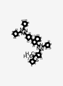 CC1(C)c2ccccc2Sc2ccc(-c3nc(-c4ccccc4)nc(-c4ccc(-c5ccc(-c6nc(-c7ccccc7)nc(-c7ccccc7)n6)cc5)c5ccccc45)n3)cc21